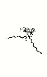 CCCCCCCCCC(=O)N(C(=O)CCCCCCCCC)C(P)(CO)C(=O)O